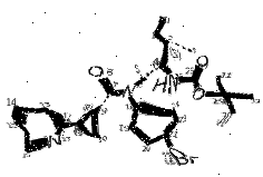 CC[C@H](C)[C@@H](CN(C(=O)[C@@H]1C[C@H]1c1ccccn1)c1ccc(Br)cc1)NC(=O)OC(C)(C)C